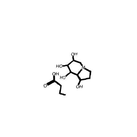 CCCC(=O)O.OC1CN2CCC(O)C2C(O)C1O